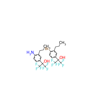 CCCc1cc(C(O)(C(F)(F)F)C(F)(F)F)ccc1Br.CCCc1cc(C(O)(C(F)(F)F)C(F)(F)F)ccc1N